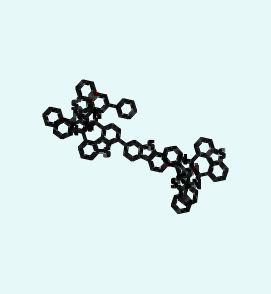 c1ccc(-c2cccc(-c3nc(-c4ccccc4)nc(-c4cccc5sc6c(-c7ccc8c(c7)sc7cc(-c9nc(-c%10cccc%11sc%12cccc(-c%13nc(-c%14ccccc%14)nc(-c%14ccccc%14)n%13)c%12c%10%11)nc%10c9sc9ccccc9%10)ccc78)ccc(-c7nc(-c8ccccc8)c8sc9ccccc9c8n7)c6c45)n3)c2)cc1